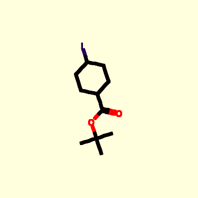 CC(C)(C)OC(=O)C1CCC(I)CC1